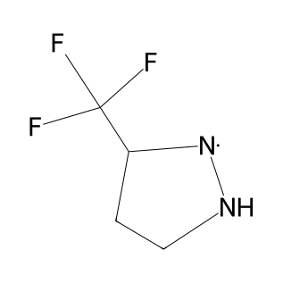 FC(F)(F)C1CCN[N]1